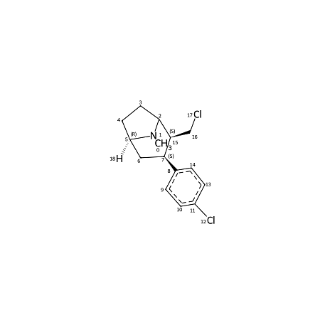 CN1C2CC[C@@H]1C[C@H](c1ccc(Cl)cc1)[C@@H]2CCl